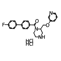 Cl.Cl.O=C(c1ccc(-c2ccc(F)cc2)cc1)N1CCNCC1COc1cccnc1